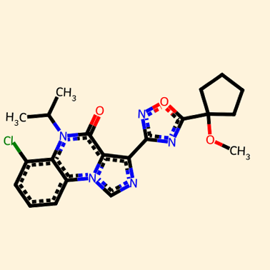 COC1(c2nc(-c3ncn4c3c(=O)n(C(C)C)c3c(Cl)cccc34)no2)CCCC1